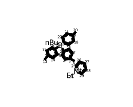 CCCC[B-](c1ccc(C)cc1)(c1ccc(C)cc1)c1ccc(C)cc1.CC[n+]1ccccc1